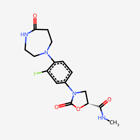 CNC(=O)[C@H]1CN(c2ccc(N3CCNC(=O)CC3)c(F)c2)C(=O)O1